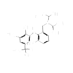 Cc1cc(C(C)(C)C)cc(Pc2c(C)cccc2CN(C(C)C)C(C)C)c1O